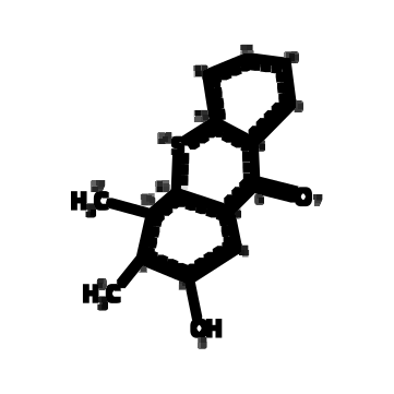 Cc1c(O)cc2c(=O)c3ccccc3sc2c1C